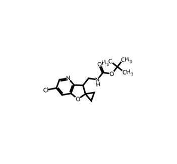 CC(C)(C)OC(=O)NCC1c2ncc(Cl)cc2OC12CC2